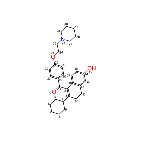 O=C(C1=C(C2CCCCC2)CCc2cc(O)ccc21)c1ccc(OCCN2CCCCC2)cc1